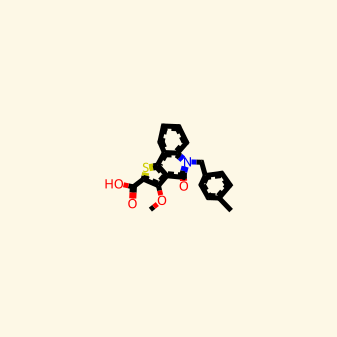 COc1c(C(=O)O)sc2c1c(=O)n(Cc1ccc(C)cc1)c1ccccc21